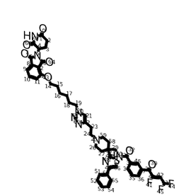 O=C1CCC(N2C(=O)c3cccc(OCCCCCCn4cc(CCN5CCC(CNC(=O)c6cccc(C(=O)C(F)=CC(F)F)c6)(c6nc(-c7ccccc7)cs6)CC5)nn4)c3C2=O)C(=O)N1